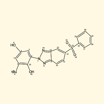 CC(C)(C)c1cc(O)cc(-n2nc3ccc(S(=O)(=O)c4ccccc4)cc3n2)c1O